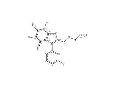 Cc1cccc(-c2c3c(=O)n(C)c(=O)n(C)c3cn2CCCC(=O)O)c1